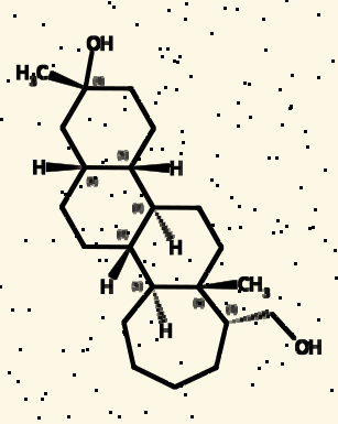 C[C@@]1(O)CC[C@H]2[C@H](CC[C@@H]3[C@@H]2CC[C@]2(C)[C@H](CO)CCCC[C@@H]32)C1